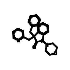 O=C1N(N2CCOCC2)c2ccccc2C1(Cc1ccccn1)Cc1ccccn1